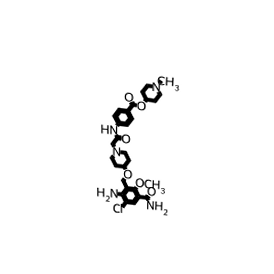 COc1c(C(N)=O)cc(Cl)c(N)c1COC1CCN(CC(=O)Nc2ccc(C(=O)OC3CCN(C)CC3)cc2)CC1